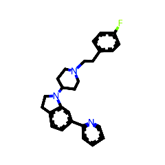 Fc1ccc(CCN2CCC(N3CCc4ccc(-c5ccccn5)cc43)CC2)cc1